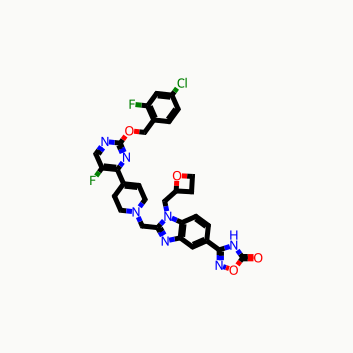 O=c1[nH]c(-c2ccc3c(c2)nc(CN2CC=C(c4nc(OCc5ccc(Cl)cc5F)ncc4F)CC2)n3CC2CCO2)no1